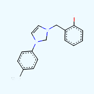 COc1ccc(N2C=CN(Cc3ccccc3O)C2)cc1